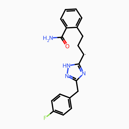 NC(=O)c1ccccc1CC[CH]c1nc(Cc2ccc(F)cc2)n[nH]1